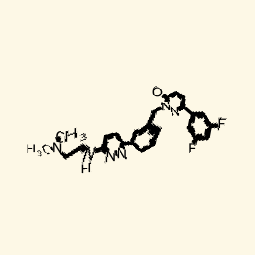 CN(C)CCNc1ccc(-c2cccc(Cn3nc(-c4cc(F)cc(F)c4)ccc3=O)c2)nn1